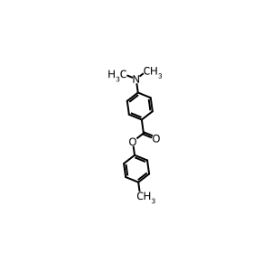 Cc1ccc(OC(=O)c2ccc(N(C)C)cc2)cc1